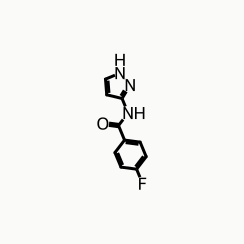 O=C(Nc1cc[nH]n1)c1ccc(F)cc1